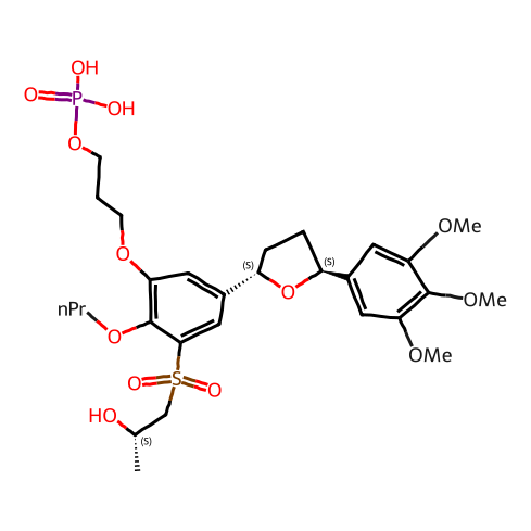 CCCOc1c(OCCCOP(=O)(O)O)cc([C@@H]2CC[C@@H](c3cc(OC)c(OC)c(OC)c3)O2)cc1S(=O)(=O)C[C@H](C)O